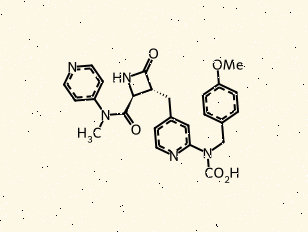 COc1ccc(CN(C(=O)O)c2cc(C[C@H]3C(=O)N[C@@H]3C(=O)N(C)c3ccncc3)ccn2)cc1